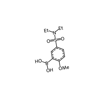 CCN(CC)S(=O)(=O)c1ccc(OC)c(B(O)O)c1